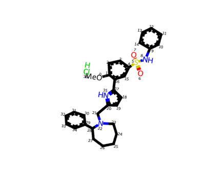 COc1ccc(S(=O)(=O)Nc2ccccc2)cc1-c1ccc(CN2CCCCCC2c2ccccc2)[nH]1.Cl